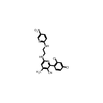 Cc1cc(NCCNc2ccc([N+](=O)[O-])cn2)nc(-c2ccc(Cl)cc2Cl)c1C#N